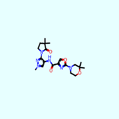 Cn1cc(NC(=O)c2coc(N3CCOC(C)(C)C3)n2)c(N2CCC(C)(C)C2=O)n1